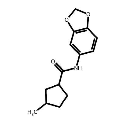 CC1CCC(C(=O)Nc2ccc3c(c2)OCO3)C1